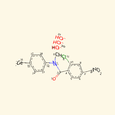 CN(C(=O)c1ccc([N+](=O)[O-])cc1Cl)c1cc[c]([Ge])cc1.[OH-].[OH-].[OH-]